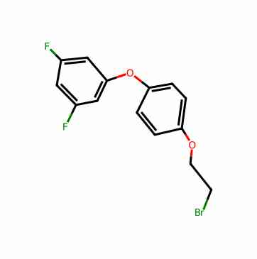 Fc1cc(F)cc(Oc2ccc(OCCBr)cc2)c1